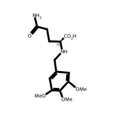 COc1cc(CN[C@@H](CCC(N)=O)C(=O)O)cc(OC)c1OC